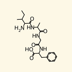 CCC(C)C(N)C(=O)NC(C)C(=O)NCC(=O)NC(Cc1ccccc1)C(=O)O